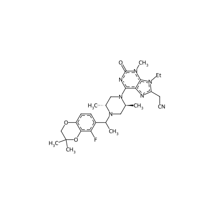 CCn1c(CC#N)nc2c(N3C[C@@H](C)N(C(C)c4ccc5c(c4F)OC(C)(C)CO5)C[C@@H]3C)nc(=O)n(C)c21